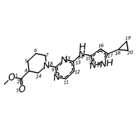 COC(=O)C1CCCN(c2nccc(Nc3cc(C4CC4)[nH]n3)n2)C1